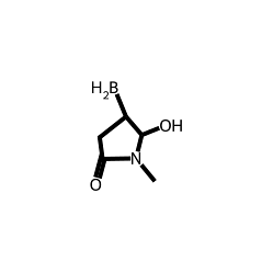 BC1CC(=O)N(C)C1O